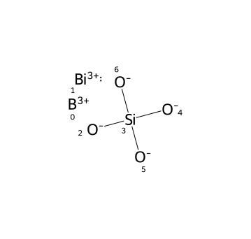 [B+3].[Bi+3].[O-][Si]([O-])([O-])[O-]